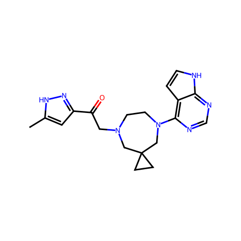 Cc1cc(C(=O)CN2CCN(c3ncnc4[nH]ccc34)CC3(CC3)C2)n[nH]1